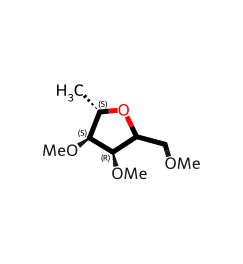 COCC1O[C@@H](C)[C@H](OC)[C@@H]1OC